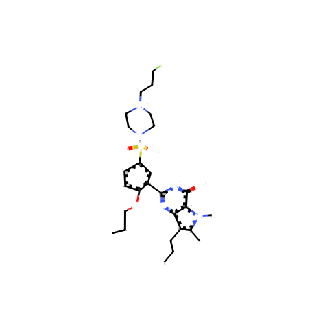 CCCOc1ccc(S(=O)(=O)N2CCN(CCCF)CC2)cc1-c1nc2c(CCC)c(C)n(C)c2c(=O)[nH]1